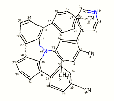 Cc1cc(C#N)c(-c2ccncc2)cc1-n1c2c(-c3ccc(C#N)cc3)cccc2c2cccc(-c3ccc(C#N)cc3)c21